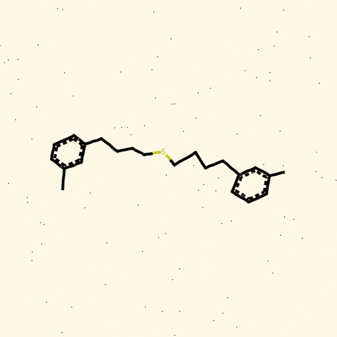 Cc1cccc(CCCCSCCCCc2cccc(C)c2)c1